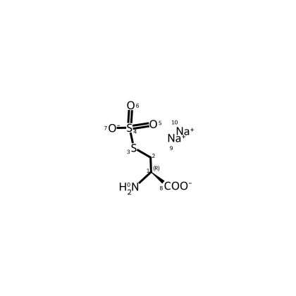 N[C@@H](CSS(=O)(=O)[O-])C(=O)[O-].[Na+].[Na+]